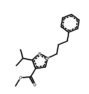 COC(=O)c1cn(CCCc2ccccc2)nc1C(C)C